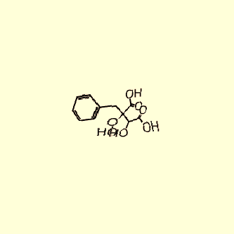 O=C(O)C(O)C(Cc1ccccc1)(OO)C(=O)O